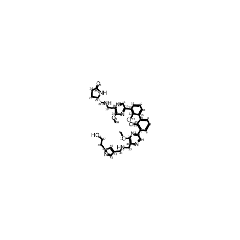 COc1nc(-c2cccc(-c3cccc(-c4cnc(CNC[C@@H]5CCC(=O)N5)c(OC)n4)c3Cl)c2Cl)cnc1CNCc1cnn(CCO)c1